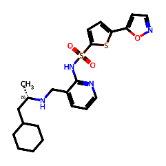 C[C@@H](CC1CCCCC1)NCc1cccnc1NS(=O)(=O)c1ccc(-c2ccno2)s1